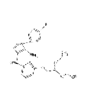 CCOC(COc1cccc(C(=O)c2cnn(-c3ccc(F)cc3)c2N)c1)OCC